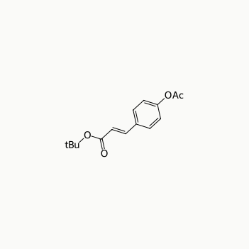 CC(=O)Oc1ccc(/C=C/C(=O)OC(C)(C)C)cc1